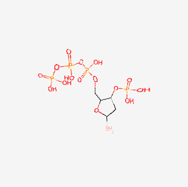 BC1CC(OP(=O)(O)O)C(COP(=O)(O)OP(=O)(O)OP(=O)(O)O)O1